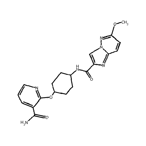 COc1ccc2nc(C(=O)NC3CCC(Oc4ncccc4C(N)=O)CC3)cn2n1